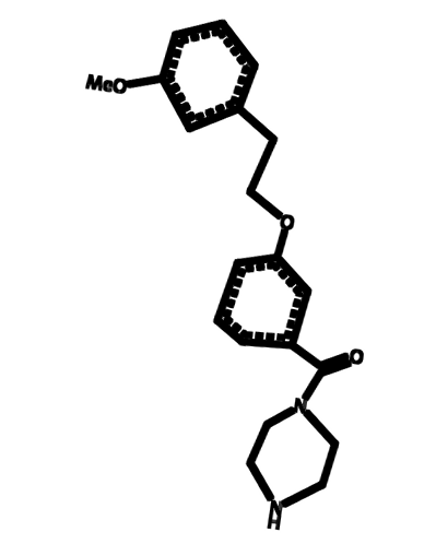 COc1cccc(CCOc2cccc(C(=O)N3CCNCC3)c2)c1